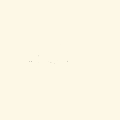 CC1(NC=O)C=C(c2cc(Cl)cc(COCC(F)(F)F)c2)N(c2ccccc2)N1